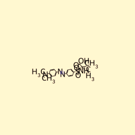 CC(C)[C@H](NS(=O)(=O)c1ccc(/N=N/c2ccc(N(C)C)cc2)cc1)C(=O)O